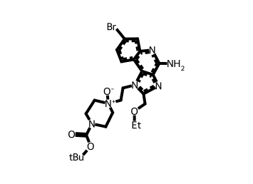 CCOCc1nc2c(N)nc3cc(Br)ccc3c2n1CC[N+]1([O-])CCN(C(=O)OC(C)(C)C)CC1